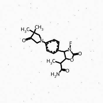 CC(C(N)=O)C1OC(=O)N(F)C1c1ccc(N2CC(=O)C(C)(C)C2)cc1